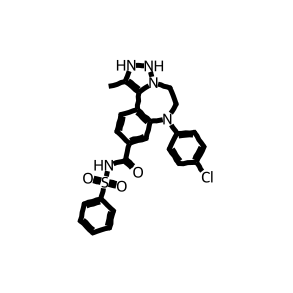 CC1=C2c3ccc(C(=O)NS(=O)(=O)c4ccccc4)cc3N(c3ccc(Cl)cc3)CCN2NN1